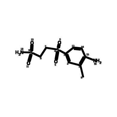 Cc1cc(S(=O)(=O)CCS(N)(=O)=O)ccc1N